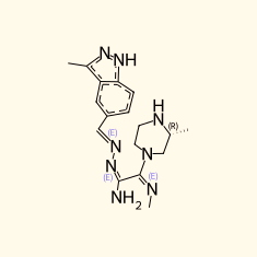 C\N=C(/C(N)=N\N=C\c1ccc2[nH]nc(C)c2c1)N1CCN[C@H](C)C1